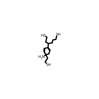 NC1(CCS)C=CC(C(CCS)CCCS)=CC1